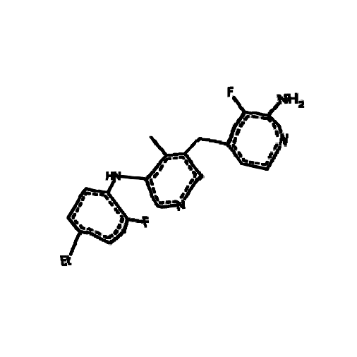 CCc1ccc(Nc2cncc(Cc3ccnc(N)c3F)c2C)c(F)c1